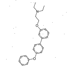 CCN(CC)CCOc1cc[c]c(-c2ccc(Oc3ccccc3)cc2)c1